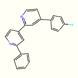 Fc1ccc(-c2ccnc(-c3ccnc(-c4ccccc4)c3)c2)cc1